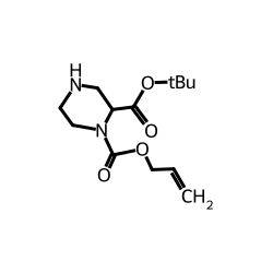 C=CCOC(=O)N1CCNCC1C(=O)OC(C)(C)C